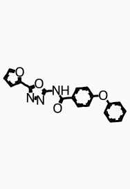 O=C(Nc1nnc(-c2ccco2)o1)c1ccc(Oc2ccccc2)cc1